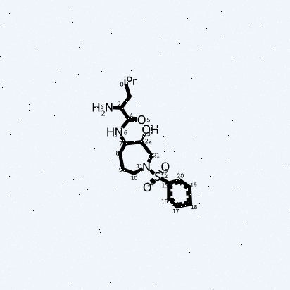 CC(C)CC(N)C(=O)NC1CCCN(S(=O)(=O)c2ccccc2)C[C@@H]1O